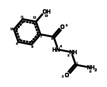 NC(=O)NNC(=O)c1ccccc1O